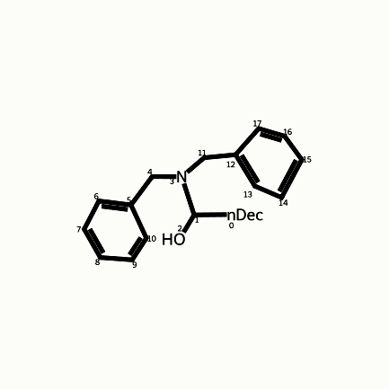 CCCCCCCCCCC(O)N(Cc1ccccc1)Cc1ccccc1